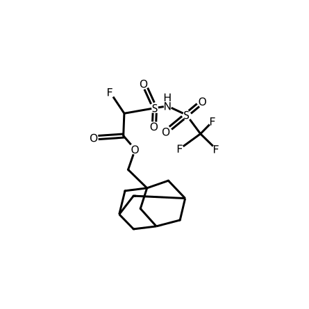 O=C(OCC12CC3CC(CC(C3)C1)C2)C(F)S(=O)(=O)NS(=O)(=O)C(F)(F)F